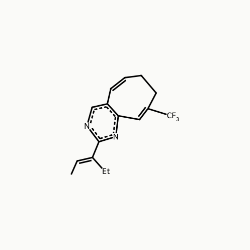 C/C=C(\CC)c1ncc2c(n1)/C=C(/C(F)(F)F)CC/C=C\2